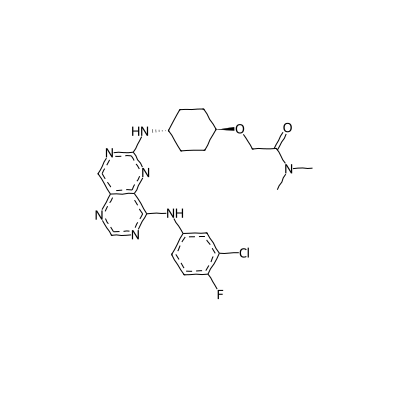 CN(C)C(=O)CO[C@H]1CC[C@H](Nc2ncc3ncnc(Nc4ccc(F)c(Cl)c4)c3n2)CC1